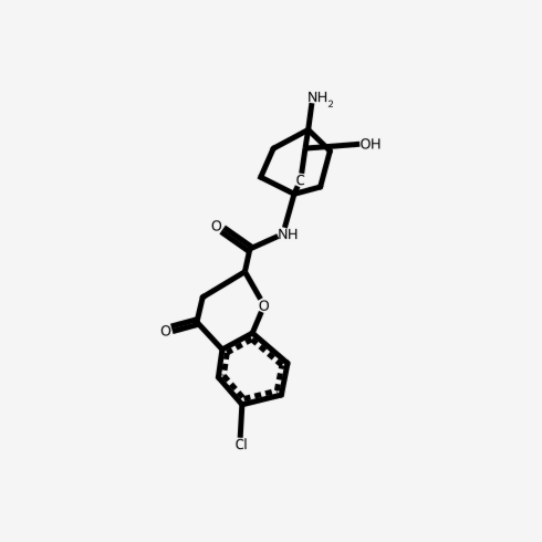 NC12CCC(NC(=O)C3CC(=O)c4cc(Cl)ccc4O3)(CC1)CC2O